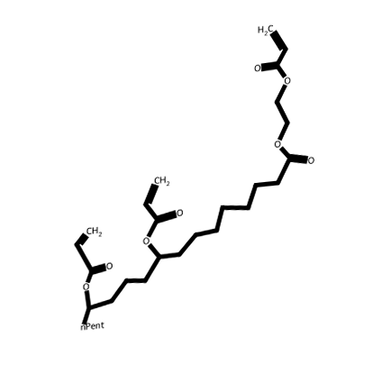 C=CC(=O)OCCOC(=O)CCCCCCCC(CCCC(CCCCC)OC(=O)C=C)OC(=O)C=C